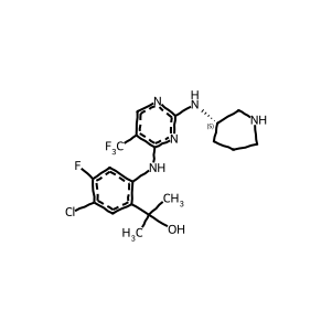 CC(C)(O)c1cc(Cl)c(F)cc1Nc1nc(N[C@H]2CCCNC2)ncc1C(F)(F)F